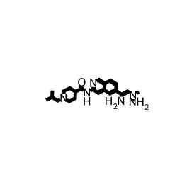 CC(C)CN1CCC(C(=O)Nc2cc3cc(/C(N)=C/N(C)N)ccc3cn2)CC1